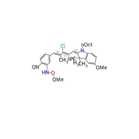 CCCCCCCCN1/C(=C/C(CCC)=C(Cl)/C(C)=C/c2ccc(N=O)c(NOOC)c2)C(C)(C)c2cc(OC)ccc21